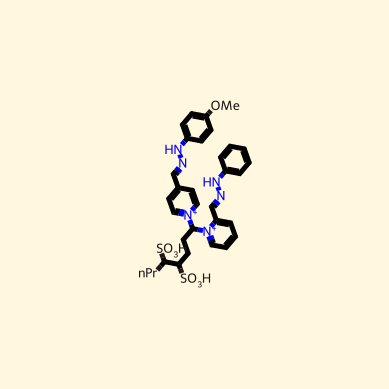 CCCC(C(CCC([n+]1ccc(C=NNc2ccc(OC)cc2)cc1)[n+]1ccccc1C=NNc1ccccc1)S(=O)(=O)O)S(=O)(=O)O